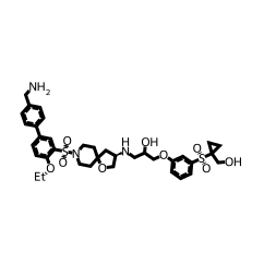 CCOc1ccc(-c2ccc(CN)cc2)cc1S(=O)(=O)N1CCC2(CC1)C[C@@H](NCC(O)COc1cccc(S(=O)(=O)C3(CO)CC3)c1)CO2